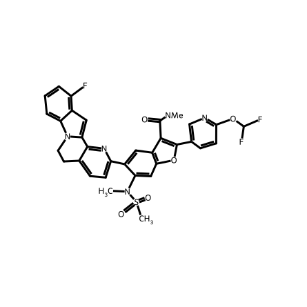 CNC(=O)c1c(-c2ccc(OC(F)F)nc2)oc2cc(N(C)S(C)(=O)=O)c(-c3ccc4c(n3)-c3cc5c(F)cccc5n3CC4)cc12